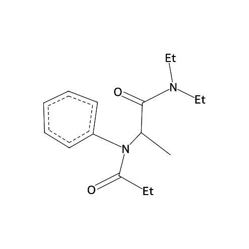 CCC(=O)N(c1ccccc1)C(C)C(=O)N(CC)CC